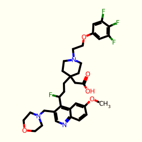 COc1ccc2ncc(CN3CCOCC3)c(C(F)CCC3(CC(=O)O)CCN(CCOc4cc(F)c(F)c(F)c4)CC3)c2c1